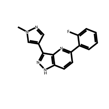 Cn1cc(-c2n[nH]c3ccc(-c4ccccc4F)nc23)cn1